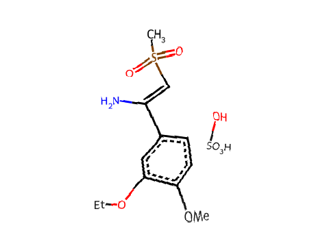 CCOc1cc(C(N)=CS(C)(=O)=O)ccc1OC.O=S(=O)(O)O